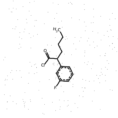 CCCCC(C(=O)Cl)c1cccc(F)c1